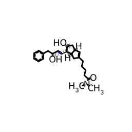 CN(C)C(=O)CCCCC1=C[C@H]2C[C@@H](O)[C@H](/C=C/[C@@H](O)Cc3ccccc3)[C@H]2C1